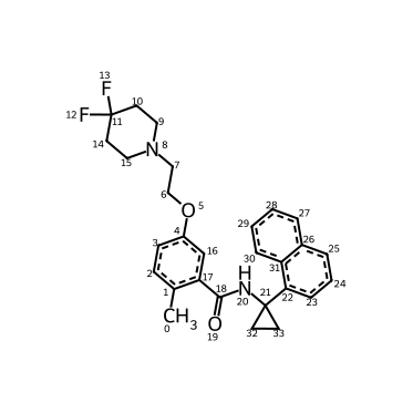 Cc1ccc(OCCN2CCC(F)(F)CC2)cc1C(=O)NC1(c2cccc3ccccc23)CC1